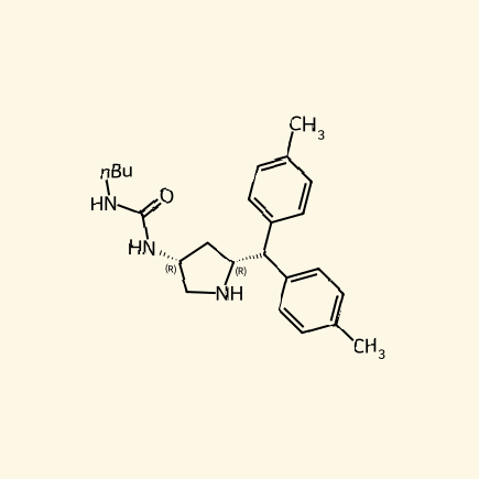 CCCCNC(=O)N[C@H]1CN[C@@H](C(c2ccc(C)cc2)c2ccc(C)cc2)C1